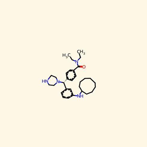 CCN(CC)C(=O)c1ccc([C@H](c2cccc(NC3CCCCCCCC3)c2)N2CCNCC2)cc1